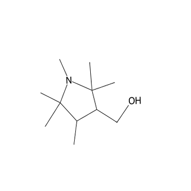 CC1C(CO)C(C)(C)N(C)C1(C)C